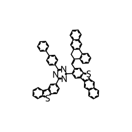 C(=C1\Cc2cc3ccccc3cc2-c2ccccc21)/c1cc2sc3cc4ccccc4cc3c2cc1-c1nc(-c2ccc(-c3ccccc3)cc2)nc(-c2ccc3sc4ccccc4c3c2)n1